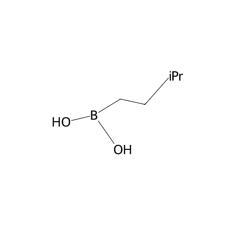 CC(C)CCB(O)O